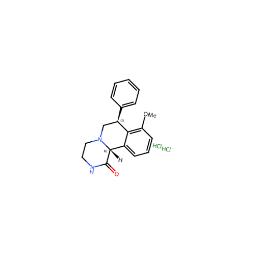 COc1cccc2c1[C@H](c1ccccc1)CN1CCNC(=O)[C@@H]21.Cl.Cl